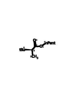 CCCCCOC(=O)[C@@H](C)C(C)(C)C